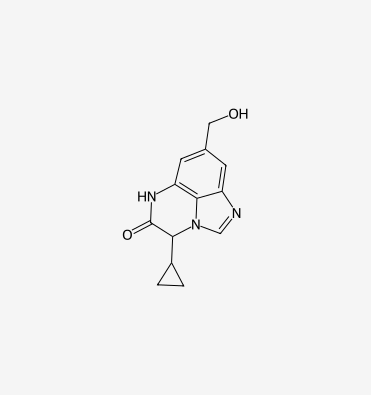 O=C1Nc2cc(CO)cc3ncn(c23)C1C1CC1